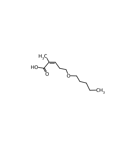 CCCCCOCCC=C(C)C(=O)O